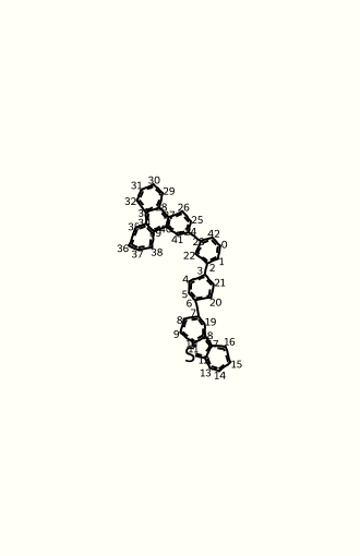 c1cc(-c2ccc(-c3ccc4sc5ccccc5c4c3)cc2)cc(-c2ccc3c4ccccc4c4ccccc4c3c2)c1